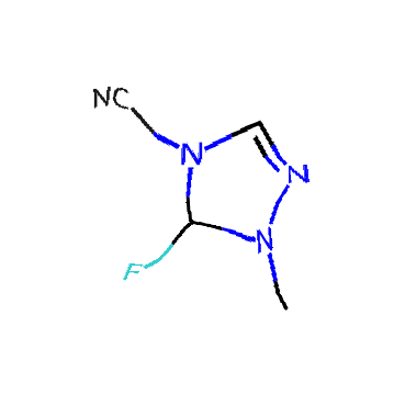 CN1N=CN(C#N)C1F